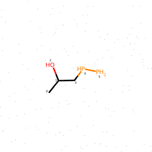 CC(O)CPP